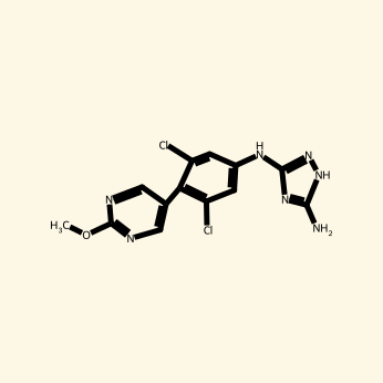 COc1ncc(-c2c(Cl)cc(Nc3n[nH]c(N)n3)cc2Cl)cn1